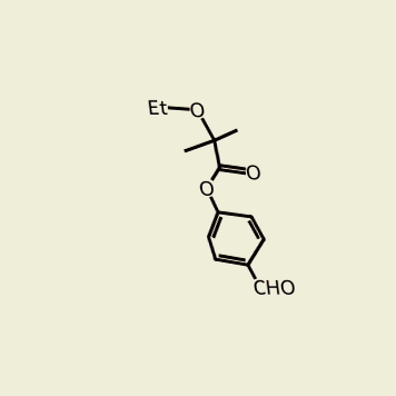 CCOC(C)(C)C(=O)Oc1ccc(C=O)cc1